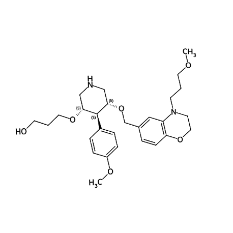 COCCCN1CCOc2ccc(CO[C@H]3CNC[C@@H](OCCCO)[C@@H]3c3ccc(OC)cc3)cc21